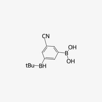 CC(C)(C)Bc1cc(C#N)cc(B(O)O)c1